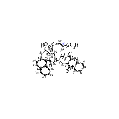 Cc1nc2ccccn2c(=O)c1CCN1C[C@H]2CCc3ccc4ccccc4c3[C@H]2C1.O=C(O)/C=C/C(=O)O